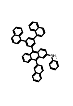 c1ccc([SiH2]c2ccc3c(-c4cc(-c5cccc6ccccc56)cc(-c5cccc6ccccc56)c4)c4ccccc4c(-c4ccc5ccccc5c4)c3c2)cc1